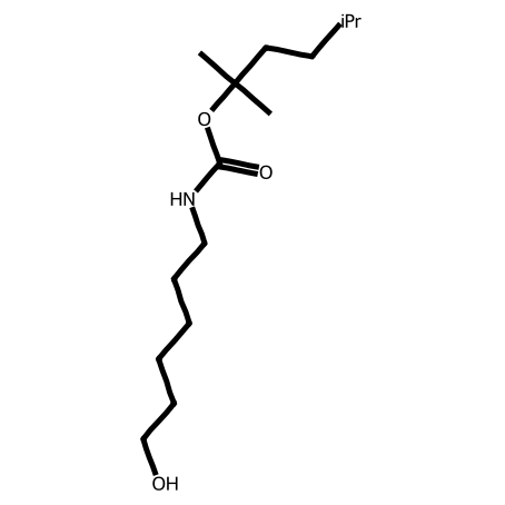 CC(C)CCC(C)(C)OC(=O)NCCCCCCO